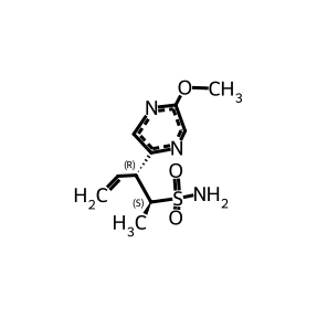 C=C[C@H](c1cnc(OC)cn1)[C@H](C)S(N)(=O)=O